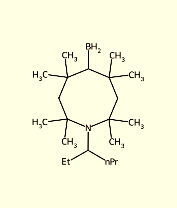 BC1C(C)(C)CC(C)(C)N(C(CC)CCC)C(C)(C)CC1(C)C